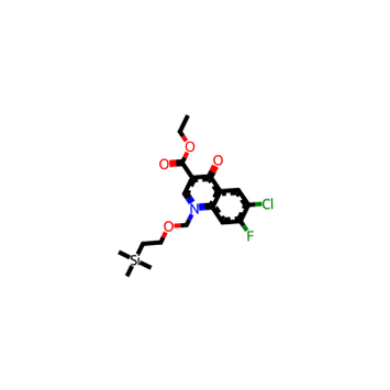 CCOC(=O)c1cn(COCC[Si](C)(C)C)c2cc(F)c(Cl)cc2c1=O